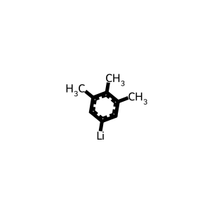 [Li][c]1cc(C)c(C)c(C)c1